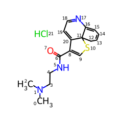 CN(C)CCNC(=O)C1=CSC23CC=CC=C2N=CC=C13.Cl